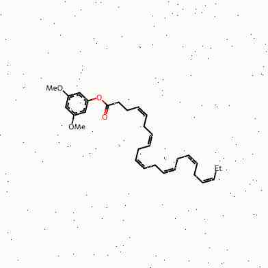 CC/C=C\C/C=C\C/C=C\C/C=C\C/C=C\C/C=C\CCC(=O)Oc1cc(OC)cc(OC)c1